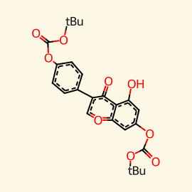 CC(C)(C)OC(=O)Oc1ccc(-c2coc3cc(OC(=O)OC(C)(C)C)cc(O)c3c2=O)cc1